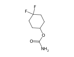 NC(=O)OC1CCC(F)(F)CC1